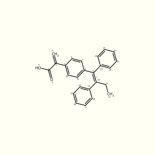 C=C(C(=O)O)c1ccc(/C(=C(/CC)c2ccccc2)c2ccccc2)cc1